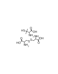 CC(C)(S)C(N)C(=O)O.NC(CSSCC(N)C(=O)O)C(=O)O